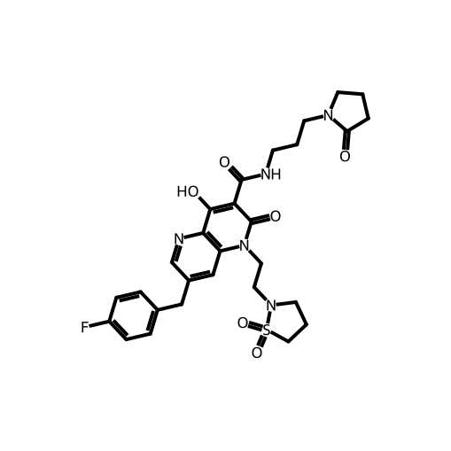 O=C(NCCCN1CCCC1=O)c1c(O)c2ncc(Cc3ccc(F)cc3)cc2n(CCN2CCCS2(=O)=O)c1=O